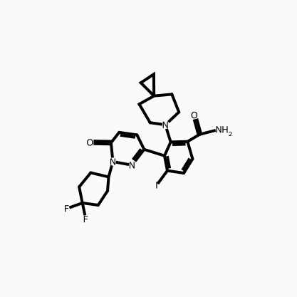 NC(=O)c1ccc(I)c(-c2ccc(=O)n(C3CCC(F)(F)CC3)n2)c1N1CCC2(CC1)CC2